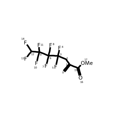 C=C(CC(F)(F)C(F)(F)C(F)(F)C(F)F)C(=O)OC